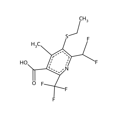 CCSc1c(C(F)F)nc(C(F)(F)F)c(C(=O)O)c1C